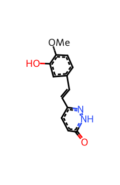 COc1ccc(C=Cc2ccc(=O)[nH]n2)cc1O